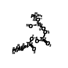 [Mg+2].[O]=[Ti]([O-])[O-].[O]=[Ti]([O-])[O-].[O]=[Ti]([O-])[O-].[Pb+2].[Pb+2]